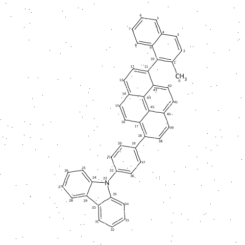 Cc1ccc2ccccc2c1-c1ccc2ccc3c(-c4ccc(-n5c6ccccc6c6ccccc65)cc4)ccc4ccc1c2c43